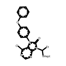 CCCCCCCC(CC)n1c(=O)n(-c2ccc(Oc3ccccc3)cc2)c2c(Cl)ncnc21